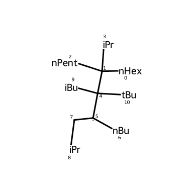 CCCCCCC(CCCCC)(C(C)C)C([C](CCCC)CC(C)C)(C(C)CC)C(C)(C)C